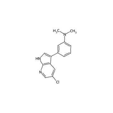 CN(C)c1cccc(-c2c[nH]c3ncc(Cl)cc23)c1